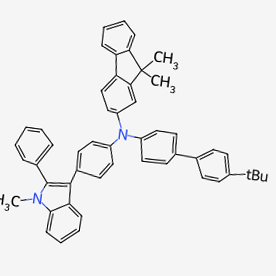 Cn1c(-c2ccccc2)c(-c2ccc(N(c3ccc(-c4ccc(C(C)(C)C)cc4)cc3)c3ccc4c(c3)C(C)(C)c3ccccc3-4)cc2)c2ccccc21